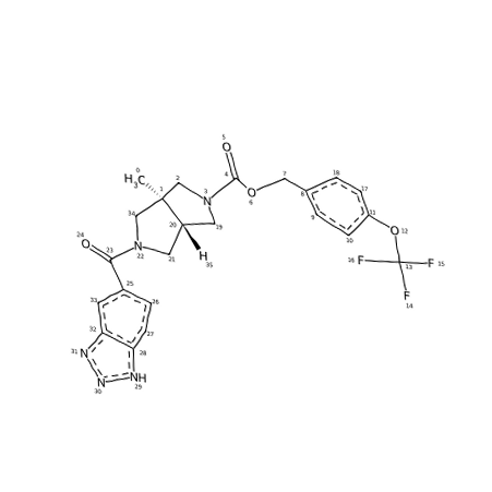 C[C@]12CN(C(=O)OCc3ccc(OC(F)(F)F)cc3)C[C@@H]1CN(C(=O)c1ccc3[nH]nnc3c1)C2